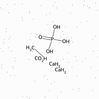 CC(=O)O.O=P(O)(O)O.[CaH2].[CaH2]